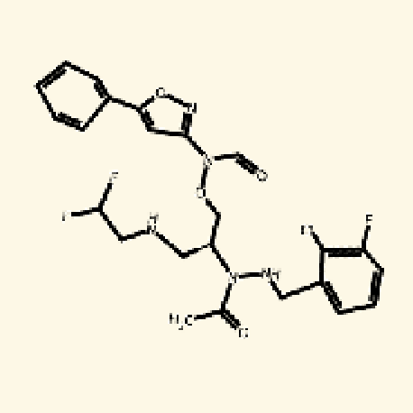 CC(=O)N(NCc1cccc(F)c1Cl)[C@@H](CNCC(F)F)CON(C=O)c1cc(-c2ccccc2)on1